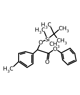 Cc1ccc(C(O[Si](C)(C)C(C)(C)C)C(=O)Oc2ccccc2)cc1